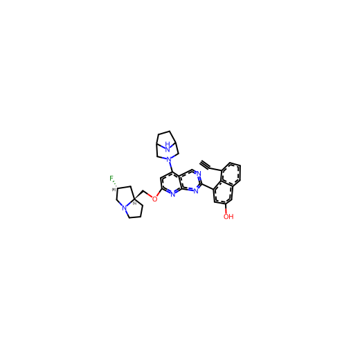 C#Cc1cccc2cc(O)cc(-c3ncc4c(N5CC6CCC(C5)N6)cc(OC[C@@]56CCCN5C[C@H](F)C6)nc4n3)c12